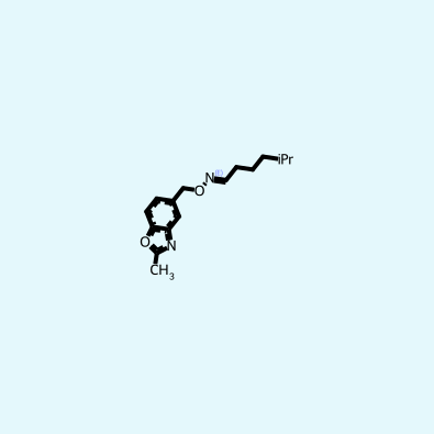 Cc1nc2cc(CO/N=C/CCCC(C)C)ccc2o1